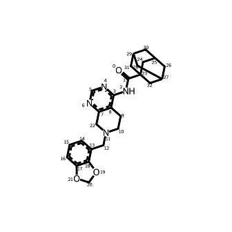 O=C(Nc1ncnc2c1CCN(Cc1cccc3c1OCO3)C2)C12CC3CC(CC(C3)C1)C2